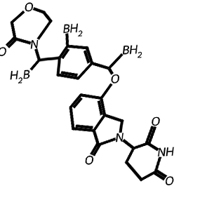 Bc1cc(C(B)Oc2cccc3c2CN(C2CCC(=O)NC2=O)C3=O)ccc1C(B)N1CCOCC1=O